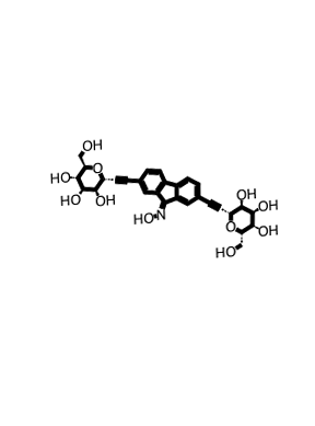 OC[C@@H]1O[C@H](C#Cc2ccc3c(c2)/C(=N/O)c2cc(C#C[C@H]4O[C@H](CO)[C@@H](O)[C@H](O)[C@@H]4O)ccc2-3)[C@@H](O)[C@@H](O)[C@@H]1O